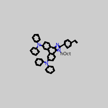 C=Cc1ccc(-c2nc3c4ccc(N(c5ccccc5)c5ccccc5)cc4c4cc(N(c5ccccc5)c5ccccc5)ccc4c3n2CCCCCCCC)cc1